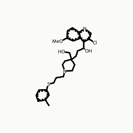 COc1ccc2ncc(Cl)c([C@H](O)CCC3(CO)CCN(CCCSc4cccc(C)c4)CC3)c2c1